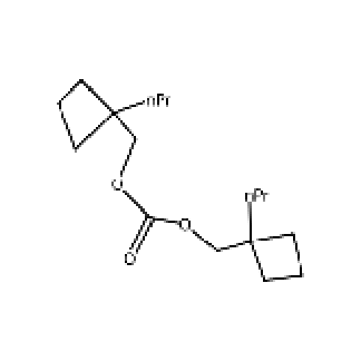 CCCC1(COC(=O)OCC2(CCC)CCC2)CCC1